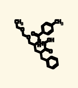 CCOCOCC(CC(Cc1ccccc1)C(=O)NO)NC(=O)c1ccc(C)cc1